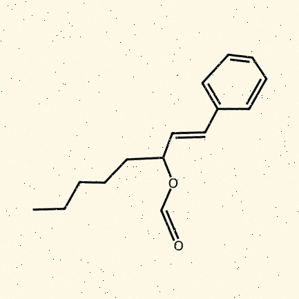 CCCCCC(/C=C/c1ccccc1)OC=O